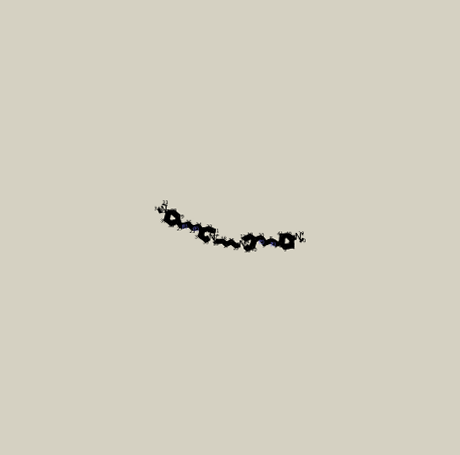 CN(C)c1ccc(/C=C/C=C/c2cc[n+](CCCCC[n+]3ccc(/C=C/C=C/c4ccc(N(C)C)cc4)cc3)cc2)cc1